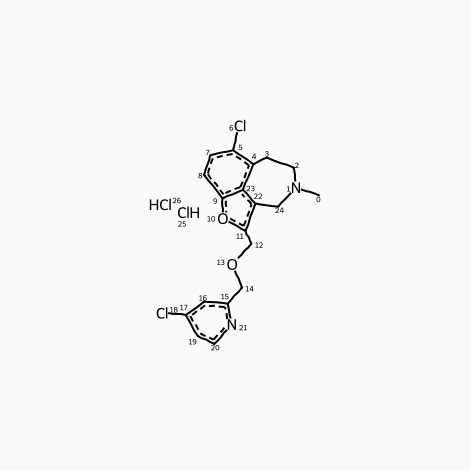 CN1CCc2c(Cl)ccc3oc(COCc4cc(Cl)ccn4)c(c23)C1.Cl.Cl